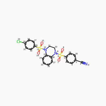 N#Cc1ccc(S(=O)(=O)N2CCN(S(=O)(=O)c3ccc(Cl)cc3)c3ccccc32)cc1